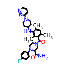 Cc1cc(C)c(C(=O)N2CCN(c3ccc(F)cc3)C(C(N)=O)C2)c(C)c1NC1CCN(c2cccnn2)CC1